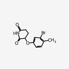 Cc1ccc(OC2CCC(=O)NC2=O)cc1Br